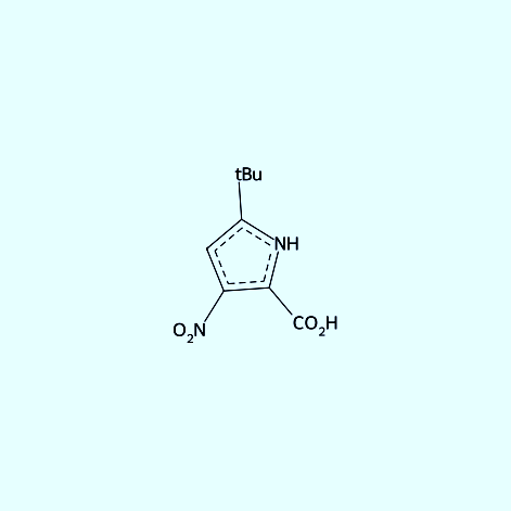 CC(C)(C)c1cc([N+](=O)[O-])c(C(=O)O)[nH]1